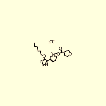 CCCCCCOc1nsnc1C1=CCC[N+](C)(COC(=O)C2CCOCC2)C1.[Cl-]